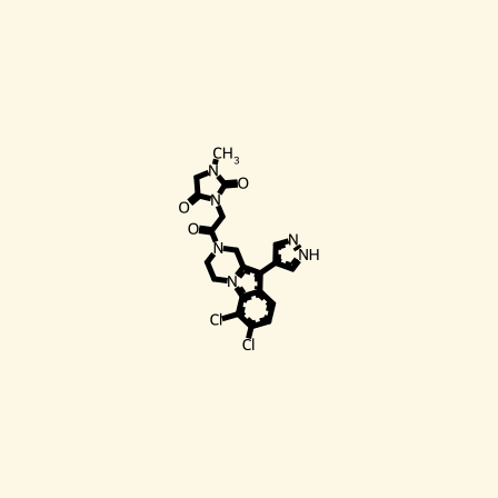 CN1CC(=O)N(CC(=O)N2CCn3c(c(-c4cn[nH]c4)c4ccc(Cl)c(Cl)c43)C2)C1=O